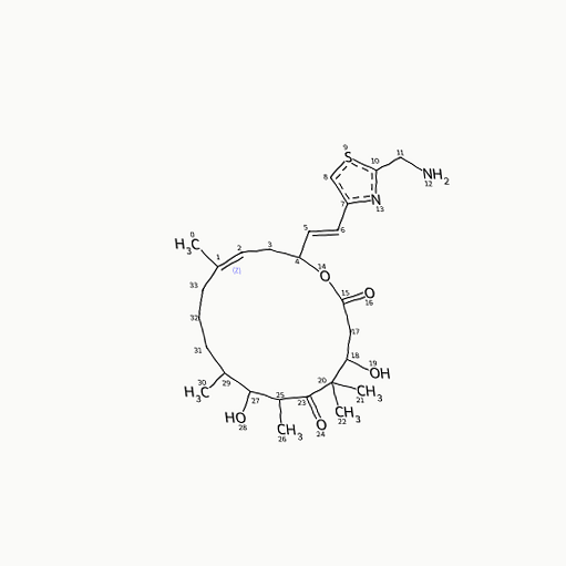 C/C1=C/CC(C=Cc2csc(CN)n2)OC(=O)CC(O)C(C)(C)C(=O)C(C)C(O)C(C)CCC1